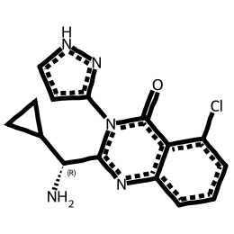 N[C@@H](c1nc2cccc(Cl)c2c(=O)n1-c1cc[nH]n1)C1CC1